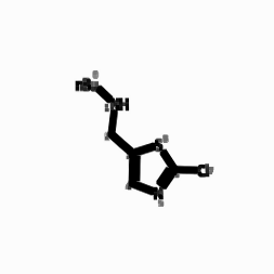 CCCCNCc1cnc(Cl)s1